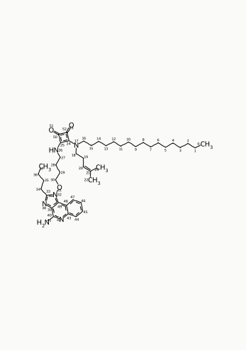 CCCCCCCCCCCCCCCCCN(CCC=C(C)C)c1c(NCCCCOn2c(CCCC)nc3c(N)nc4ccccc4c32)c(=O)c1=O